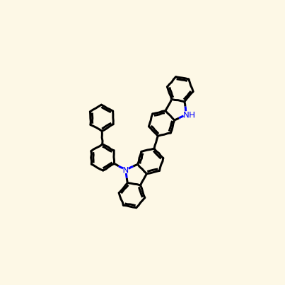 c1ccc(-c2cccc(-n3c4ccccc4c4ccc(-c5ccc6c(c5)[nH]c5ccccc56)cc43)c2)cc1